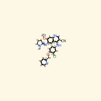 CCOc1cc2ncc(C#N)c(Nc3ccc(OCc4ccccn4)c(Cl)c3)c2cc1N=C1CCCN1C